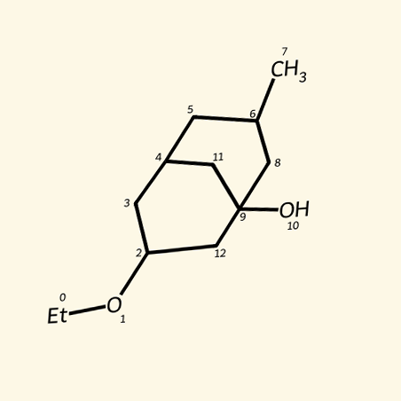 CCOC1CC2CC(C)CC(O)(C2)C1